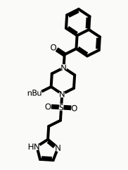 CCCCC1CN(C(=O)c2cccc3ccccc23)CCN1S(=O)(=O)CCc1ncc[nH]1